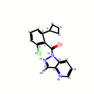 O=C(c1c(Cl)cccc1C1CCC1)n1nc(I)c2ncccc21